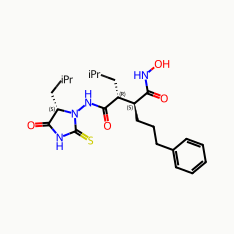 CC(C)C[C@@H](C(=O)NN1C(=S)NC(=O)[C@@H]1CC(C)C)[C@H](CCCc1ccccc1)C(=O)NO